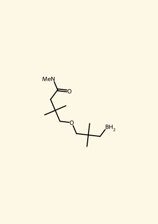 BCC(C)(C)COCC(C)(C)CC(=O)NC